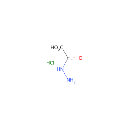 Cl.NNC(=O)C(=O)O